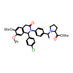 COC(=O)C1CCCN1C(C)c1ccc(N2C(=O)Cc3cc(OC)c(OC(C)C)cc3C2c2ccc(Cl)cc2)cc1